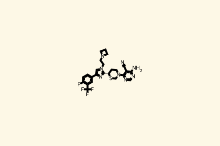 N#Cc1c(N)ncnc1N1CC[C@@H](c2nc(-c3ccc(F)c(C(F)(F)F)c3)cn2CCN2CCC2)SC1